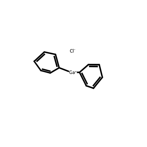 [Cl-].c1cc[c]([Ga+][c]2ccccc2)cc1